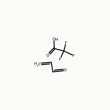 C=CC=O.O=C(O)C(F)(F)F